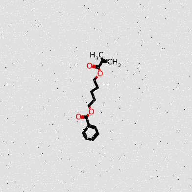 C=C(C)C(=O)OCCCCCOC(=O)c1ccccc1